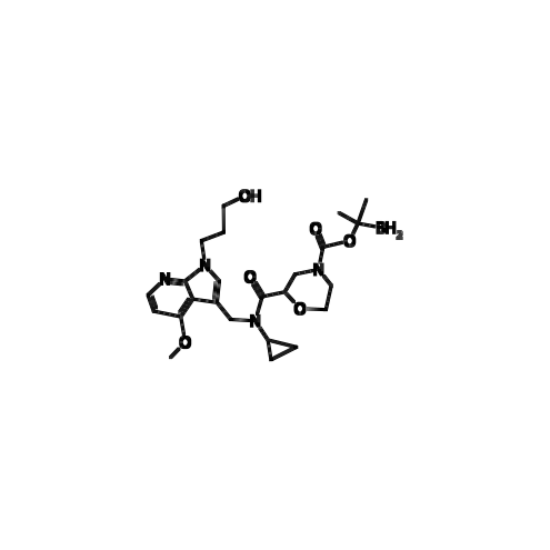 BC(C)(C)OC(=O)N1CCOC(C(=O)N(Cc2cn(CCCO)c3nccc(OC)c23)C2CC2)C1